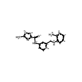 Cc1nc(C(=O)Nc2ccnc(CNc3cccnc3N)c2)no1